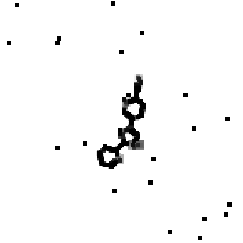 N#Cc1ccc(-c2c[nH]c(-c3ccccn3)n2)cn1